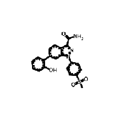 CS(=O)(=O)c1ccc(-n2nc(C(N)=O)c3ccc(-c4ccccc4O)cc32)cc1